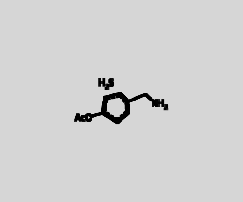 CC(=O)Oc1ccc(CN)cc1.S